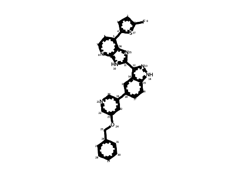 Fc1ccc(-c2ccnc3[nH]c(-c4n[nH]c5ccc(-c6cncc(OCc7ccccc7)c6)cc45)nc23)s1